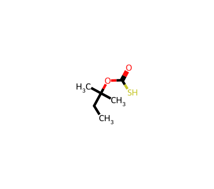 CCC(C)(C)OC(=O)S